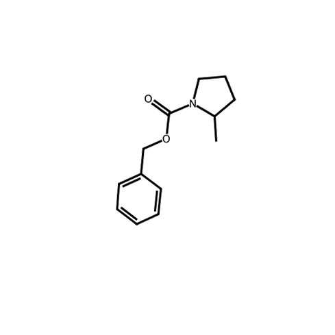 CC1CCCN1C(=O)OCc1ccccc1